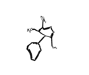 CC1=NN=C(C)C(c2ccccc2)C1C